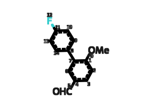 COc1ccc(C=O)cc1-c1ccc(F)cc1